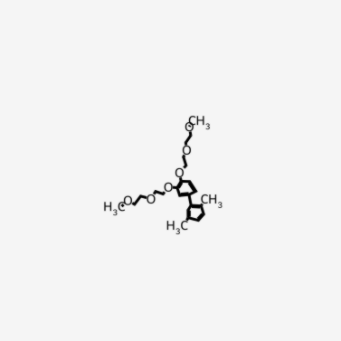 COCCOCCOc1ccc(-c2cc(C)ccc2C)cc1OCCOCCOC